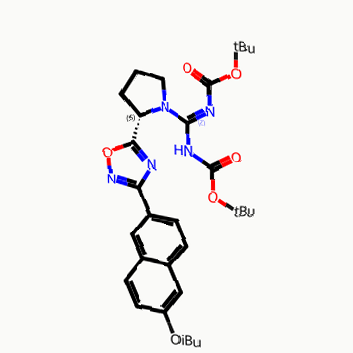 CC(C)COc1ccc2cc(-c3noc([C@@H]4CCCN4/C(=N\C(=O)OC(C)(C)C)NC(=O)OC(C)(C)C)n3)ccc2c1